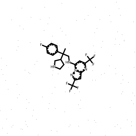 CC(CNc1cc(C(F)(F)F)nc2cc(C(F)(F)F)nn12)(c1ccc(F)cc1)C1CCNC1